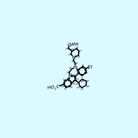 CCc1ccc2c(c1)N(CCN1CCCC(COC)C1)CCn1c-2c(C2CCCCC2)c2ccc(C(=O)O)cc21